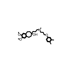 COc1cc2c(cc1OC)CCC(O)(CCCN(C)CCCOc1ccc(C)c(C)c1)CC2